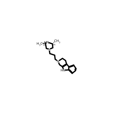 C[C@@H]1CN(CCCN2CCc3c([nH]c4ccccc34)C2)C[C@@H](C)N1